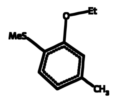 CCOc1cc(C)ccc1SC